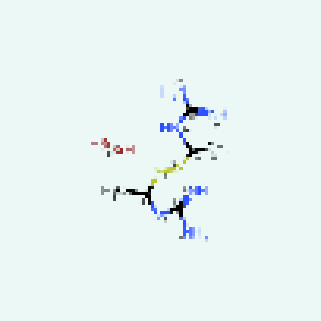 Br.Br.CC(NC(=N)N)SSC(C)NC(=N)N